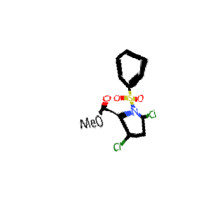 COC(=O)[C@@H]1C(Cl)CC(Cl)N1S(=O)(=O)c1ccccc1